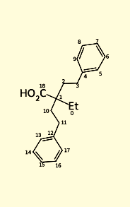 CCC(CCc1ccccc1)(CCc1ccccc1)C(=O)O